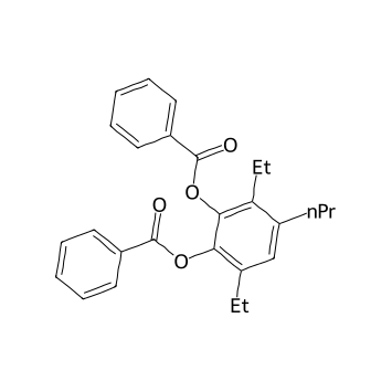 CCCc1cc(CC)c(OC(=O)c2ccccc2)c(OC(=O)c2ccccc2)c1CC